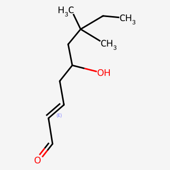 CCC(C)(C)CC(O)C/C=C/C=O